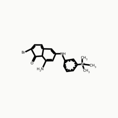 C[N+](C)(C)c1cccc(NC2=CC3=CC=C(Br)C(=O)C3C(N)=C2)c1